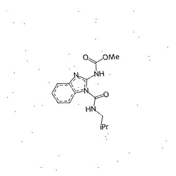 COC(=O)Nc1nc2ccccc2n1C(=O)NCC(C)C